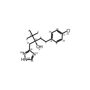 CC(C)(C)[C@](O)(CCc1ccc(Cl)cc1)Cc1nc[nH]n1